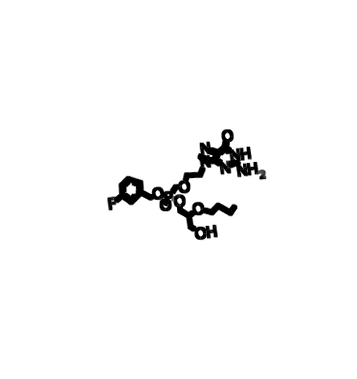 CCCCOC(CO)COP(=O)(COCCn1cnc2c(=O)[nH]c(N)nc21)OCc1cccc(F)c1